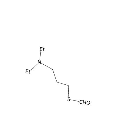 CCN(CC)CCCSC=O